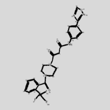 O=C(CC(=O)N1CCN(C(=O)c2ccccc2C(F)(F)F)CC1)Nc1ccc(-c2ncon2)cc1